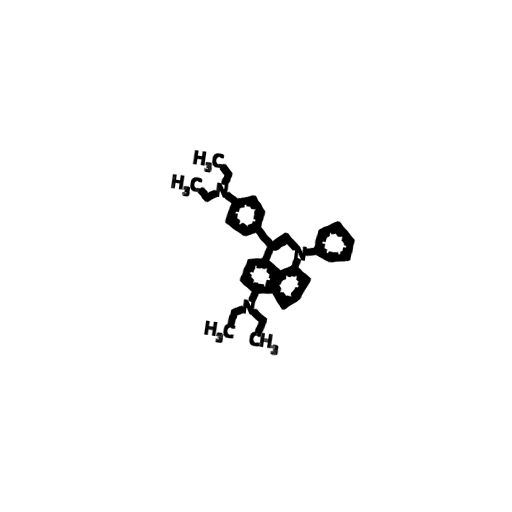 CCN(CC)c1ccc(C(=CN(c2ccccc2)c2ccccc2)c2ccc(N(CC)CC)cc2)cc1